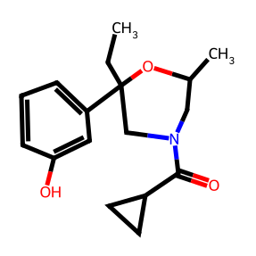 CCC1(c2cccc(O)c2)CN(C(=O)C2CC2)CC(C)O1